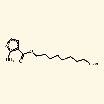 CCCCCCCCCCCCCCCCCCOC(=O)c1ccsc1N